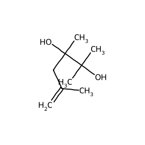 C=C(C)CC(C)(O)C(C)(C)O